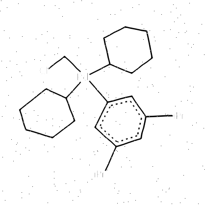 CC(C)c1cc(C(C)C)c[c]([Pd]([CH2]Cl)([CH]2CCCCC2)[CH]2CCCCC2)c1